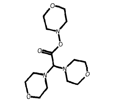 O=C(ON1CCOCC1)C(N1CCOCC1)N1CCOCC1